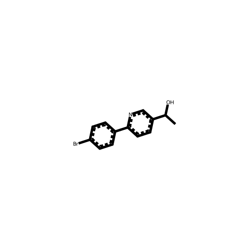 CC(O)c1ccc(-c2ccc(Br)cc2)nc1